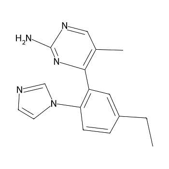 CCc1ccc(-n2ccnc2)c(-c2nc(N)ncc2C)c1